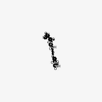 COc1cc(-c2cn(C)c(=O)c3cnccc23)cc(OC)c1CN1CCCC(NC(=O)CCOCCOc2ccc3c(c2)C(=O)N(C2CCC(=O)NC2=O)C3=O)C1